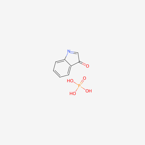 O=C1C=Nc2ccccc21.O=P(O)(O)O